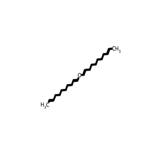 CC=CCCCCCCC=COC=CCCCCCCC=CC